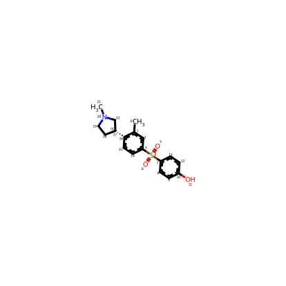 Cc1cc(S(=O)(=O)c2ccc(O)cc2)ccc1[C@@H]1CCN(C)C1